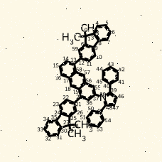 CC1(C)c2ccccc2-c2ccc(-c3cccc4cc5c(-c6ccc7c(c6)C(C)(C)c6ccccc6-7)cc(-n6c(-c7ccccc7)ccc6-c6ccccc6)cc5cc34)cc21